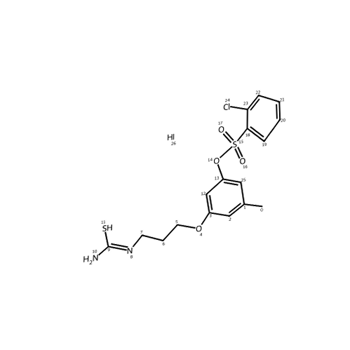 Cc1cc(OCCCN=C(N)S)cc(OS(=O)(=O)c2ccccc2Cl)c1.I